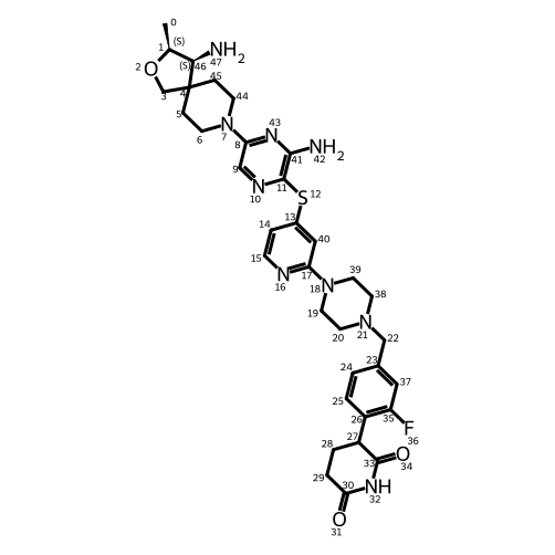 C[C@@H]1OCC2(CCN(c3cnc(Sc4ccnc(N5CCN(Cc6ccc(C7CCC(=O)NC7=O)c(F)c6)CC5)c4)c(N)n3)CC2)[C@@H]1N